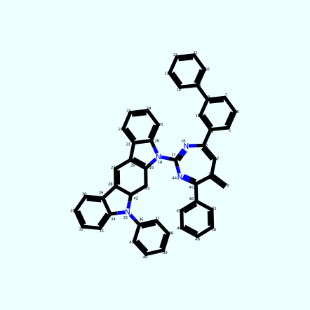 C=C1C=C(c2cccc(-c3ccccc3)c2)N=C(n2c3c(c4ccccc42)C=C2c4ccccc4N(c4ccccc4)C2C3)N=C1c1ccccc1